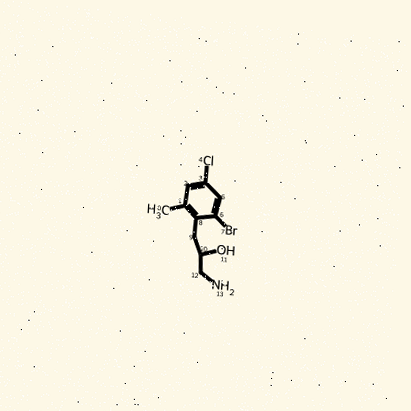 Cc1cc(Cl)cc(Br)c1CC(O)CN